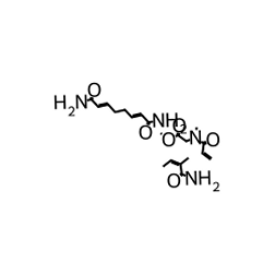 C=CC(=O)N(C)CC(=O)OC.CC=C(C)C(N)=O.NC(=O)C=CCCC=CC(N)=O